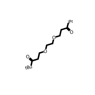 CC(C)C(=O)CCOCCOCCC(=O)C(C)(C)C